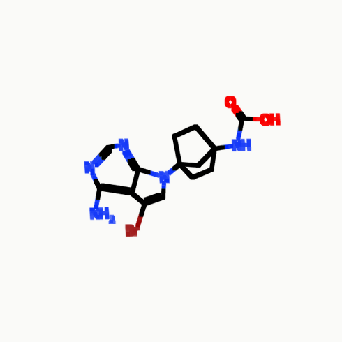 Nc1ncnc2c1c(Br)cn2C12CCC(NC(=O)O)(CC1)C2